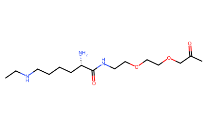 CCNCCCC[C@H](N)C(=O)NCCOCCOCC(C)=O